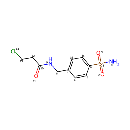 NS(=O)(=O)c1ccc(CNC(=O)CCCl)cc1